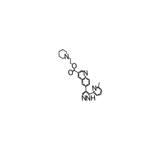 Cc1cccc(-c2[nH]ncc2-c2ccc3ncc(C(=O)OCCN4CCCCC4)cc3c2)n1